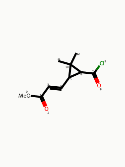 COC(=O)/C=C/C1C(C(=O)Cl)C1(C)C